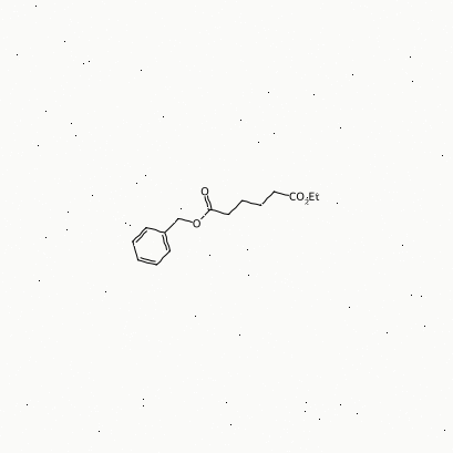 CCOC(=O)CCCCC(=O)OCc1ccccc1